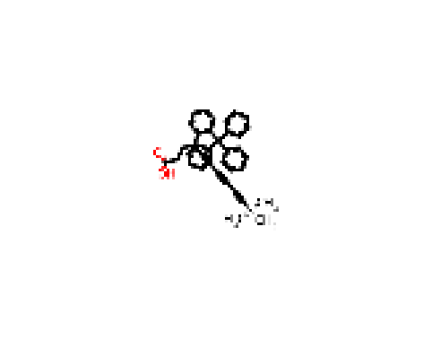 C[Si](C)(C)C#CC#CC#CC(CCC(=O)O)c1ccccc1C(c1ccccc1)(c1ccccc1)c1ccccc1